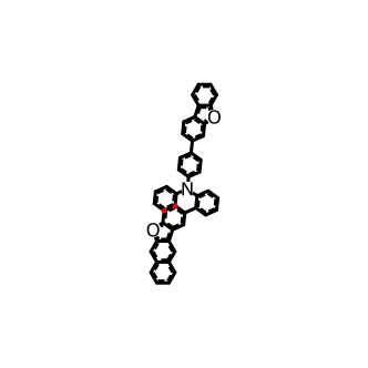 c1ccc(N(c2ccc(-c3ccc4c(c3)oc3ccccc34)cc2)c2ccccc2-c2ccc3oc4cc5ccccc5cc4c3c2)cc1